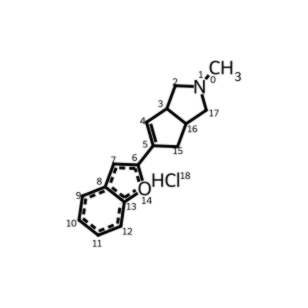 CN1CC2C=C(c3cc4ccccc4o3)CC2C1.Cl